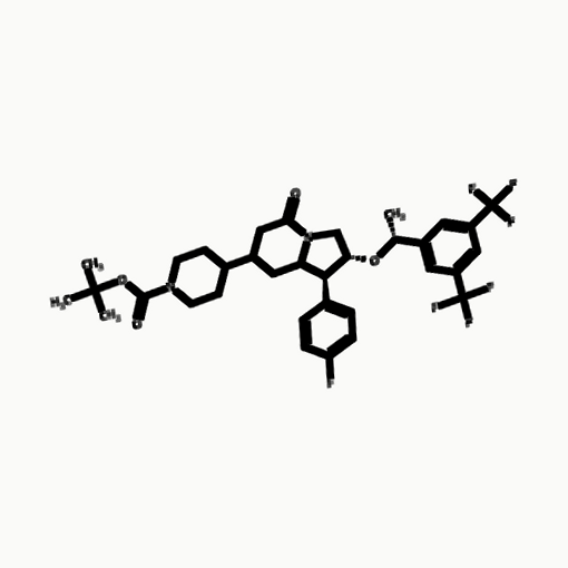 C[C@@H](O[C@H]1CN2C(=O)CC(C3CCN(C(=O)OC(C)(C)C)CC3)CC2[C@@H]1c1ccc(F)cc1)c1cc(C(F)(F)F)cc(C(F)(F)F)c1